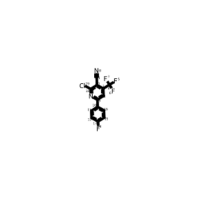 N#Cc1c(C(F)(F)F)cc(-c2ccc(F)cc2)nc1Cl